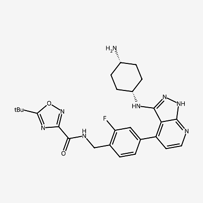 CC(C)(C)c1nc(C(=O)NCc2ccc(-c3ccnc4[nH]nc(N[C@H]5CC[C@@H](N)CC5)c34)cc2F)no1